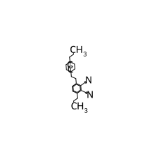 CCCc1ccc(CCC23CCC(CCC)(CC2)CC3)c(C#N)c1C#N